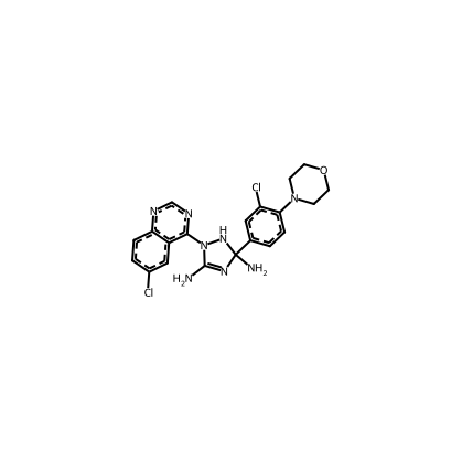 NC1=NC(N)(c2ccc(N3CCOCC3)c(Cl)c2)NN1c1ncnc2ccc(Cl)cc12